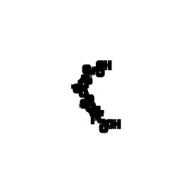 COc1cc2cc(C(=O)CCC(=O)O)sc2cc1OCCOc1cc2sc(C(F)(F)CCC(=O)O)cc2cc1OC